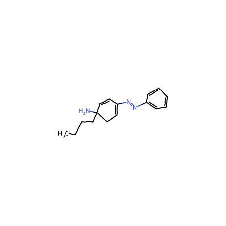 CCCCC1(N)C=CC(N=Nc2ccccc2)=CC1